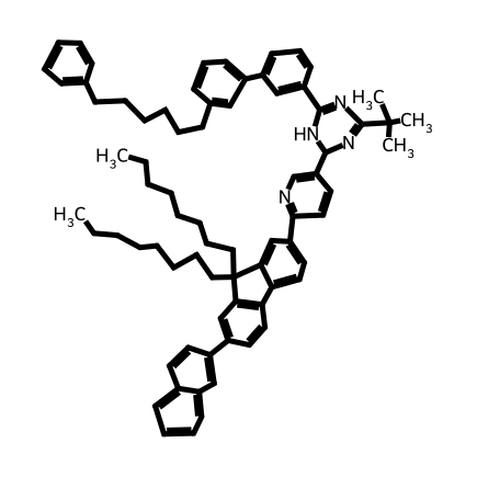 CCCCCCCCC1(CCCCCCCC)c2cc(-c3ccc4ccccc4c3)ccc2-c2ccc(-c3ccc(C4N=C(C(C)(C)C)N=C(c5cccc(-c6cccc(CCCCCCc7ccccc7)c6)c5)N4)cn3)cc21